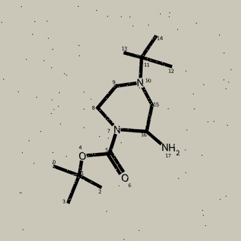 CC(C)(C)OC(=O)N1CCN(C(C)(C)C)CC1N